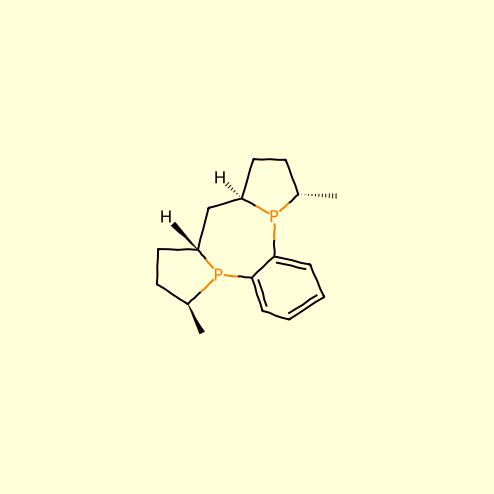 C[C@H]1CC[C@@H]2C[C@H]3CC[C@H](C)P3c3ccccc3P21